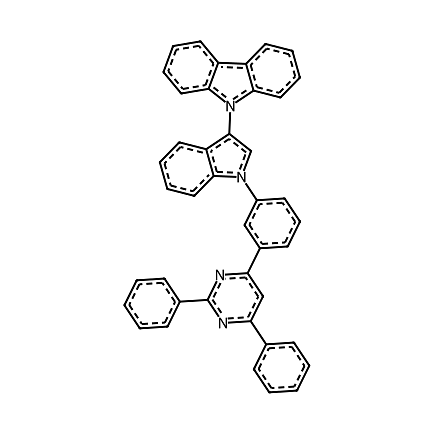 c1ccc(-c2cc(-c3cccc(-n4cc(-n5c6ccccc6c6ccccc65)c5ccccc54)c3)nc(-c3ccccc3)n2)cc1